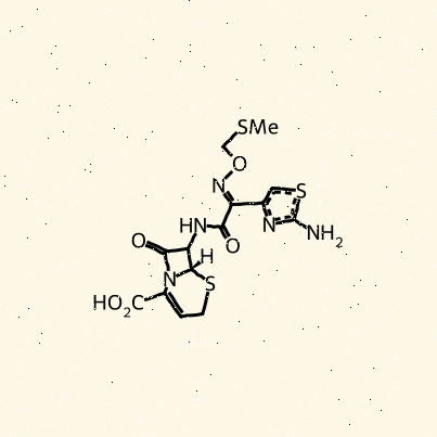 CSCON=C(C(=O)NC1C(=O)N2C(C(=O)O)=CCS[C@@H]12)c1csc(N)n1